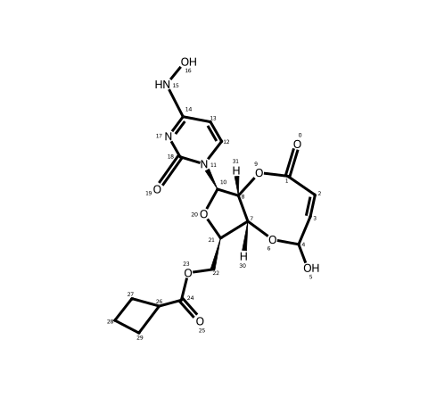 O=C1/C=C\C(O)O[C@H]2[C@@H](O1)[C@H](n1ccc(NO)nc1=O)O[C@@H]2COC(=O)C1CCC1